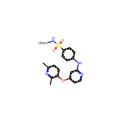 CCCCCNS(=O)(=O)c1ccc(Nc2cc(Oc3ccc(C)nc3C)ccn2)cc1